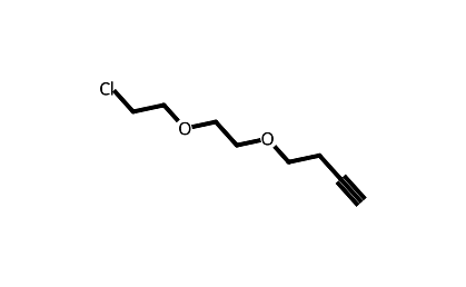 C#CCCOCCOCCCl